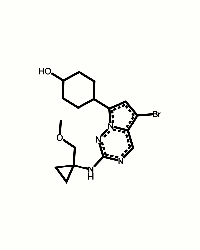 COCC1(Nc2ncc3c(Br)cc(C4CCC(O)CC4)n3n2)CC1